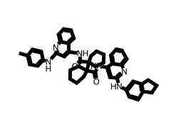 Cc1ccc(Nc2cc(NC(=O)C3(C4(C(=O)Nc5cc(Nc6ccc7c(c6)CCC7)nc6ccccc56)CCCCC4)CCCCC3)c3ccccc3n2)cc1